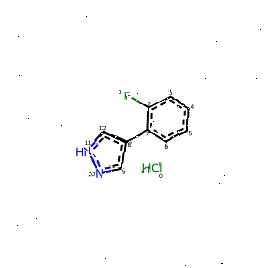 Cl.Fc1ccccc1-c1cn[nH]c1